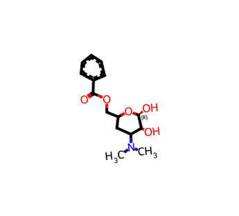 CN(C)C1CC(COC(=O)c2ccccc2)O[C@@H](O)C1O